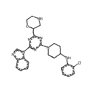 Clc1ccccc1NC1CCN(c2nc(C3CNCCO3)nc(-n3cnc4ccccc43)n2)CC1